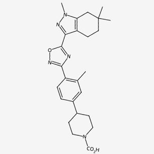 Cc1cc(C2CCN(C(=O)O)CC2)ccc1-c1noc(-c2nn(C)c3c2CCC(C)(C)C3)n1